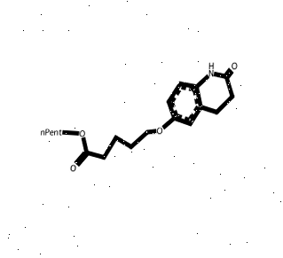 CCCCCOC(=O)CCCCOc1ccc2c(c1)CCC(=O)N2